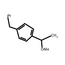 COC(C)c1ccc(CC(C)C)cc1